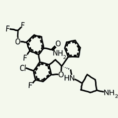 NC(=O)c1ccc(OC(F)F)c(F)c1-c1c(Cl)c(F)cc2c1C[C@@](CNC1CCC(N)CC1)(c1ccccc1)O2